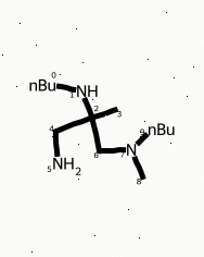 CCCCNC(C)(CN)CN(C)CCCC